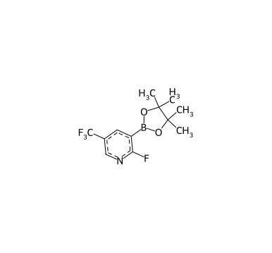 CC1(C)OB(c2cc(C(F)(F)F)cnc2F)OC1(C)C